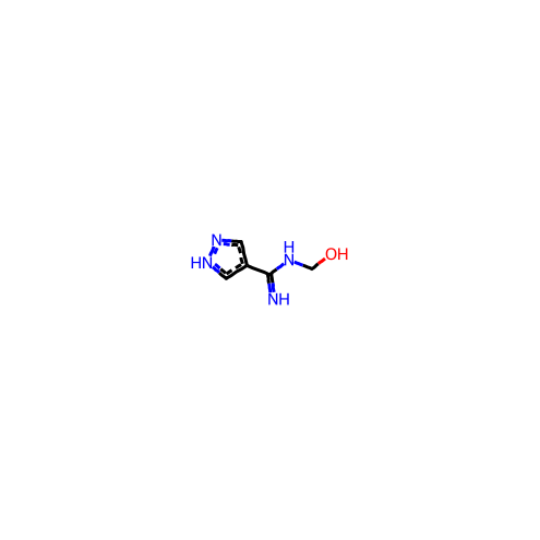 N=C(NCO)c1cn[nH]c1